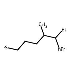 CCCC(CC)C(C)CCC[S]